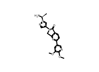 COc1cc(-c2ccc3c(n2)CN(c2cnn([C@H](C)N)c2)C3=O)cnc1OC